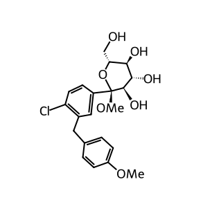 COc1ccc(Cc2cc([C@]3(OC)O[C@H](CO)[C@@H](O)[C@H](O)[C@H]3O)ccc2Cl)cc1